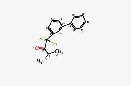 CC(C)C(=O)C(F)(F)c1cccc(-c2ccccc2)c1